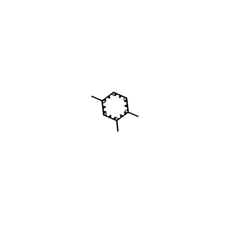 Fc1ccc(Cl)c([SiH3])c1